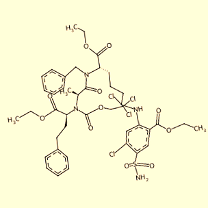 CCOC(=O)c1cc(S(N)(=O)=O)c(Cl)cc1NCCCC[C@@H](C(=O)OCC)N(Cc1ccccc1)C(=O)[C@H](C)N(C(=O)OCC(Cl)(Cl)Cl)[C@@H](CCc1ccccc1)C(=O)OCC